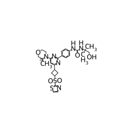 C[C@H]1COCCN1c1cc(C2CC(S(=O)(=O)c3nccs3)C2)nc(-c2ccc(NC(=O)NC(C)(C)CO)cc2)n1